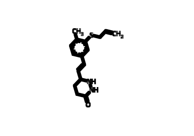 C=CCSc1cc(/C=C/C2CCC(=O)NN2)ccc1C